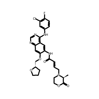 C[C@H]1C(=O)OCCN1C/C=C/C(=O)Nc1cc2c(Nc3ccc(F)c(Cl)c3)ncnc2cc1OC[C@@H]1CCCO1